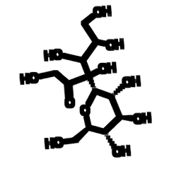 O=C(CO)C(O)(C(O)C(O)CO)[C@H]1O[C@H](CO)[C@@H](O)[C@H](O)[C@H]1O